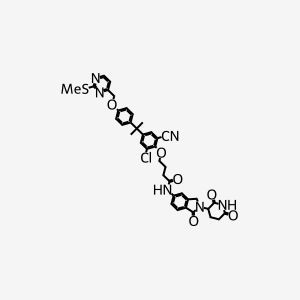 CSc1nccc(COc2ccc(C(C)(C)c3cc(Cl)c(OCCCC(=O)Nc4ccc5c(c4)CN(C4CCC(=O)NC4=O)C5=O)c(C#N)c3)cc2)n1